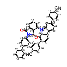 N#Cc1ccc(-c2ccc3c4ccc(-c5ccc(C#N)cc5)cc4n(-c4cccc5c4C(=O)N(c4ccc(-c6ccccc6)cc4)C5=O)c3c2)cc1